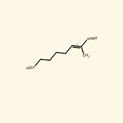 CCCCCCCCCCCC/C=C(\C)CCCCCCC